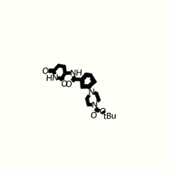 CC(C)(C)OC(=O)N1CCN(c2cccc(C(=O)NC3CCC(=O)NC3=O)c2)CC1